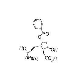 CCCCCC(O)C=C[C@H]1[C@H](CC(=O)O)[C@H](O)C[C@H]1OC(=O)c1ccccc1